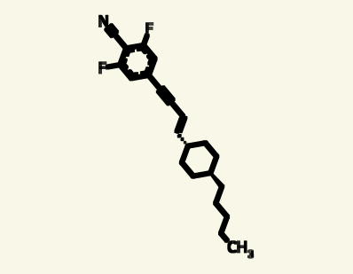 CCCCC[C@H]1CC[C@H](/C=C/C#Cc2cc(F)c(C#N)c(F)c2)CC1